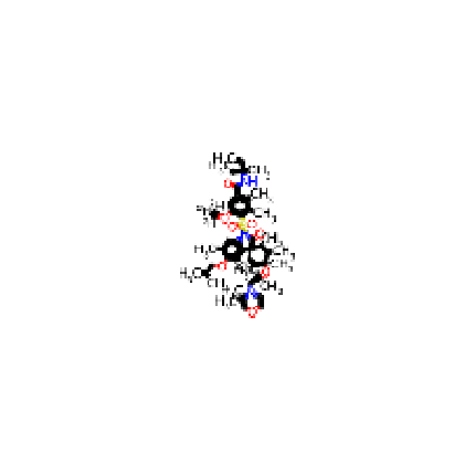 [2H]C([2H])([2H])Oc1cc(C(=O)NC(C)(CC)CC)c(C)c(C)c1S(=O)(=O)N1C(=O)[C@@]2(CC[C@](C)(OC(C)(C)CN3CCOCC3(C)C)C(C)C2C)c2c1cc(C)c(OCC(C)C)c2C